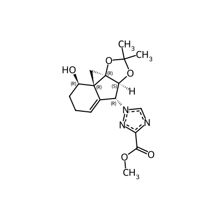 COC(=O)c1ncn([C@@H]2C3=CCC[C@@H](O)[C@@]34C[C@@]43OC(C)(C)O[C@@H]23)n1